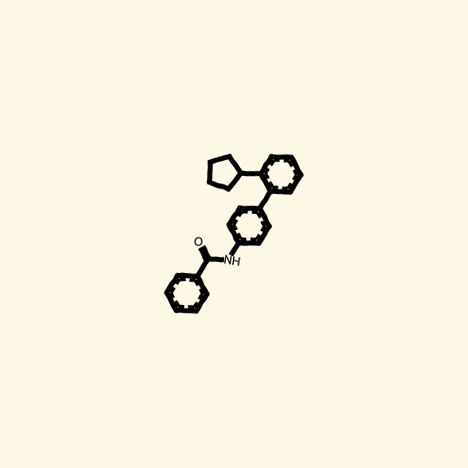 O=C(Nc1ccc(-c2ccccc2C2CCCC2)cc1)c1ccccc1